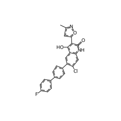 Cc1cc(-c2c(O)c3cc(-c4ccc(-c5ccc(F)cc5)cc4)c(Cl)cc3[nH]c2=O)on1